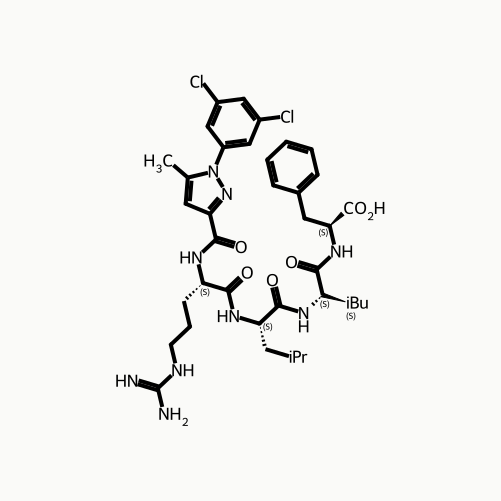 CC[C@H](C)[C@H](NC(=O)[C@H](CC(C)C)NC(=O)[C@H](CCCNC(=N)N)NC(=O)c1cc(C)n(-c2cc(Cl)cc(Cl)c2)n1)C(=O)N[C@@H](Cc1ccccc1)C(=O)O